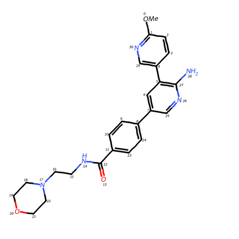 COc1ccc(-c2cc(-c3ccc(C(=O)NCCN4CCOCC4)cc3)cnc2N)cn1